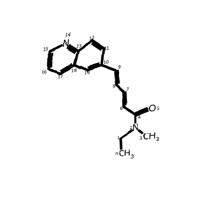 CCN(C)C(=O)C=CC=Cc1ccc2ncccc2c1